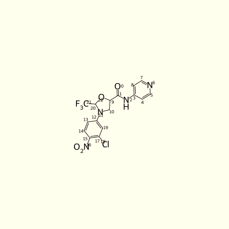 O=C(Nc1ccncc1)C1CN(c2ccc([N+](=O)[O-])c(Cl)c2)C(C(F)(F)F)O1